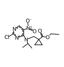 CCOC(=O)C1(CN(c2nc(Cl)ncc2[N+](=O)[O-])C(C)C)CC1